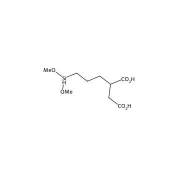 CO[SiH](CCCC(CC(=O)O)C(=O)O)OC